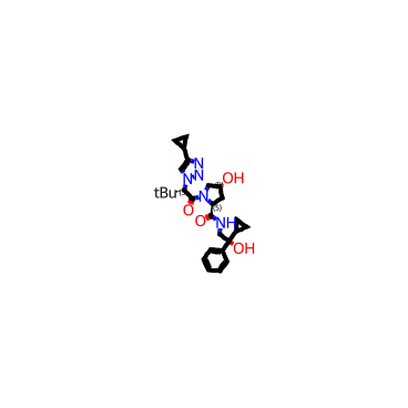 CC(C)(C)[C@@H](C(=O)N1C[C@H](O)C[C@H]1C(=O)NCC(O)(c1ccccc1)C1CC1)n1cc(C2CC2)nn1